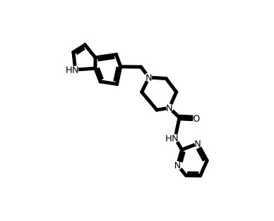 O=C(Nc1ncccn1)N1CCN(Cc2ccc3[nH]ccc3c2)CC1